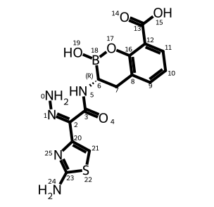 NN=C(C(=O)N[C@H]1Cc2cccc(C(=O)O)c2OB1O)c1csc(N)n1